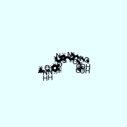 COCCN(Cc1ccc(-c2cc3nccc(Oc4ccc(NC(=O)NC5CC5)cc4F)c3s2)nc1)C(=O)COP(=O)(O)O